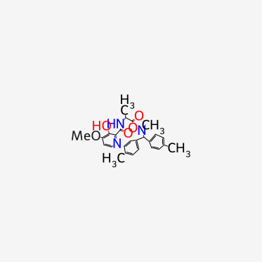 COc1ccnc(C(=O)NC(C)C(=O)ON(C)C(c2ccc(C)cc2)c2ccc(C)cc2)c1O